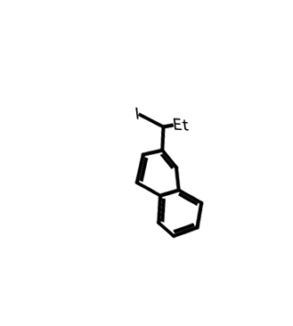 CCC(I)c1ccc2ccccc2c1